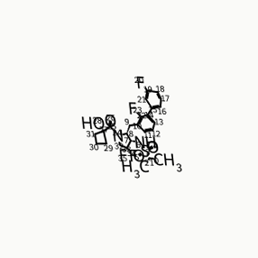 CC(C)S(=O)(=O)N[C@@H]1[C@H](Cc2cccc(-c3cccc(F)c3)c2F)N(C(=O)C2(O)CCC2)CC1(F)F